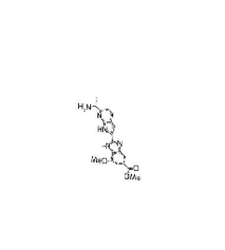 COC(=O)c1cc(OC)c2c(c1)nc(-c1cc3ccc([C@@H](C)N)nc3[nH]1)n2C